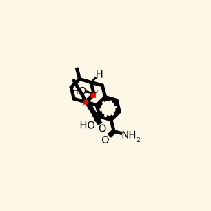 CC1CCC23CC(=O)CC[C@@]2(O)[C@H]1Cc1ccc(C(N)=O)c(O)c13